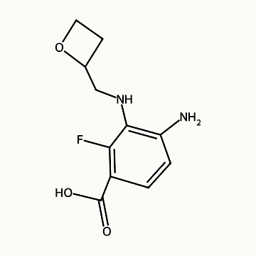 Nc1ccc(C(=O)O)c(F)c1NCC1CCO1